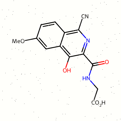 COc1ccc2c(C#N)nc(C(=O)NCC(=O)O)c(O)c2c1